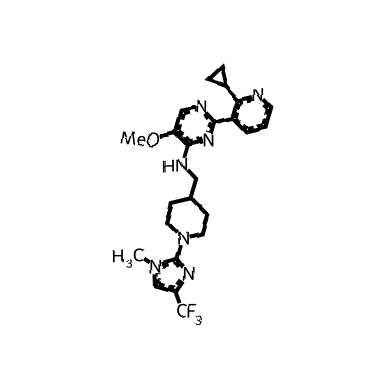 COc1cnc(-c2cccnc2C2CC2)nc1NCC1CCN(c2nc(C(F)(F)F)cn2C)CC1